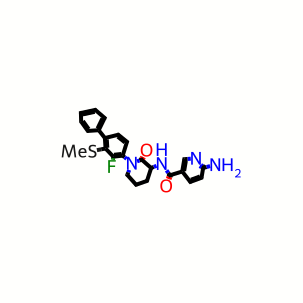 CSc1c(-c2ccccc2)ccc(N2CCCC(NC(=O)c3ccc(N)nc3)C2=O)c1F